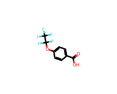 O=C(O)c1ccc(OC(F)(F)C(F)(F)F)cc1